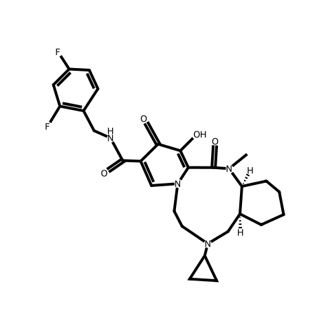 CN1C(=O)c2c(O)c(=O)c(C(=O)NCc3ccc(F)cc3F)cn2CCN(C2CC2)C[C@@H]2CCCC[C@@H]21